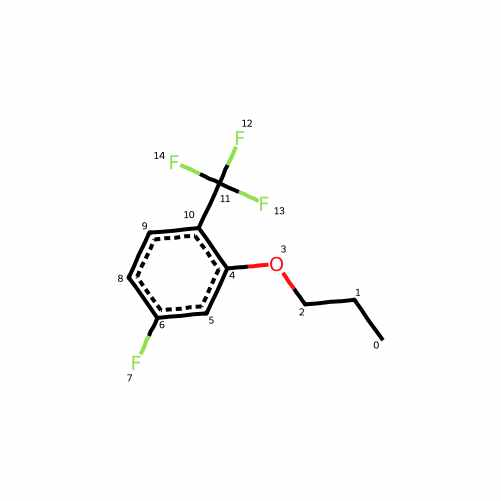 CCCOc1cc(F)ccc1C(F)(F)F